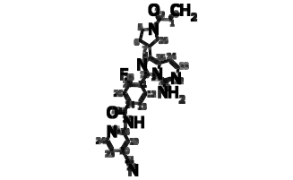 C=CC(=O)N1CCC(c2nc(-c3ccc(C(=O)Nc4cc(C#N)ccn4)cc3F)n3c(N)nccc23)C1